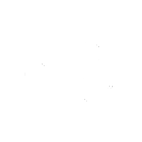 CSc1c(C2=C(c3cn(C)c4ccccc34)C(=O)NC2=O)c2ccccc2n1C